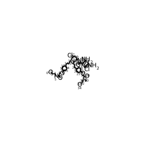 COCCN(C)C(=O)COc1ccc(CCC[N+]2(CCCc3ccc(OCC(=O)N(C)CCOC)cc3)CCCC(NC(=O)c3nc(Cl)c(N)nc3N)C2)cc1.[Cl-]